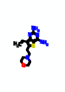 C=Cc1c(CCN2CCOCC2)sc2c(N)nc(N)nc12